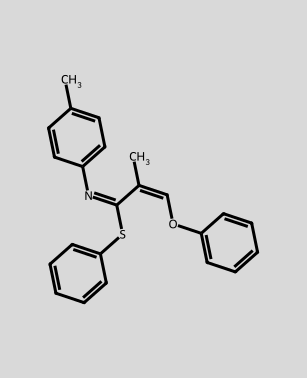 CC(=COc1ccccc1)C(=Nc1ccc(C)cc1)Sc1ccccc1